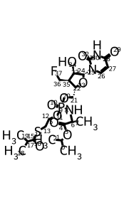 CC(C)OC(=O)[C@H](C)N[P@@](=O)(OCCSC(=O)C(C)C)OC[C@H]1O[C@@H](n2ccc(=O)[nH]c2=O)[C@H](O)[C@@H]1CF